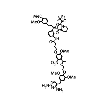 CCC(C)(C)C(=O)C(=O)N1CCCC[C@H]1C(=O)O[C@H](CCc1ccc(OC)c(OC)c1)c1cccc(NC(=O)CCCOc2cc([N+](=O)[O-])c(C(C)OCCOc3c(OC)cc(Cc4cnc(N)nc4N)cc3OC)cc2OC)c1